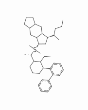 CCCC(C)[C@H]1C[C@@H](S(C)(C)[C@@H](C)C2CCC[C@H](c3ccccc3-c3ccccc3)C2CC)C2CC3CCCC3CC21